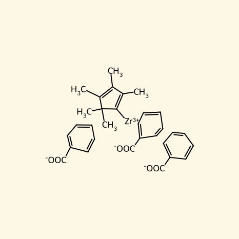 CC1=C(C)C(C)(C)[C]([Zr+3])=C1C.O=C([O-])c1ccccc1.O=C([O-])c1ccccc1.O=C([O-])c1ccccc1